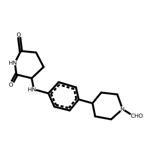 O=CN1CCC(c2ccc(NC3CCC(=O)NC3=O)cc2)CC1